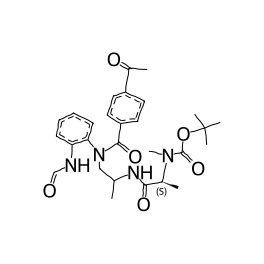 CC(=O)c1ccc(C(=O)N(CC(C)NC(=O)[C@H](C)N(C)C(=O)OC(C)(C)C)c2ccccc2NC=O)cc1